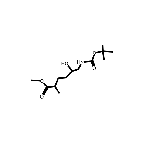 COC(=O)C(C)CCC(O)CNC(=O)OC(C)(C)C